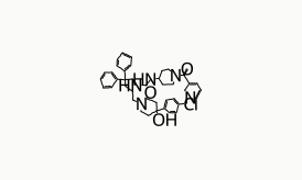 O=C(NCC(CCCN1CCC(O)(c2ccc(Cl)cc2)CC1)(c1ccccc1)c1ccccc1)NC1CCN(C(=O)c2cccnc2)CC1